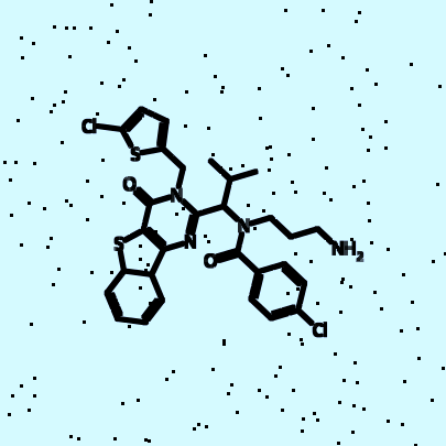 CC(C)C(c1nc2c(c(=O)n1Cc1ccc(Cl)s1)SC1C=CC=CC21)N(CCCN)C(=O)c1ccc(Cl)cc1